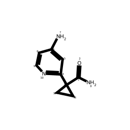 NC(=O)C1(c2cc(N)ccn2)CC1